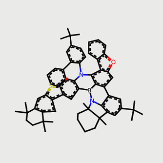 CC(C)(C)c1ccc(N2c3cc4sc5cc6c(cc5c4cc3B3c4c(cc5oc7ccccc7c5c42)-c2cc(C(C)(C)C)cc4c2N3C2(C)CCCCC42C)C(C)(C)CCC6(C)C)c(-c2ccccc2)c1